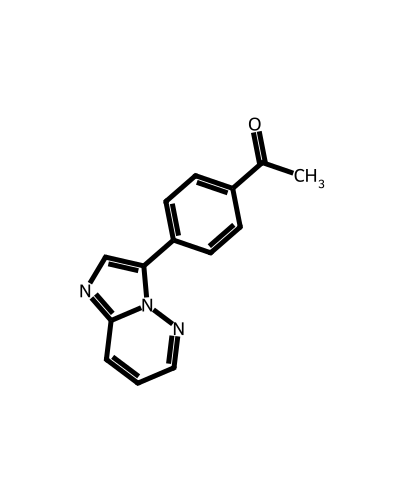 CC(=O)c1ccc(-c2cnc3cccnn23)cc1